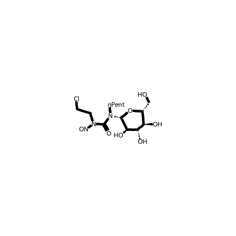 CCCCCN(C(=O)N(CCCl)N=O)[C@@H]1O[C@H](CO)[C@@H](O)[C@H](O)[C@H]1O